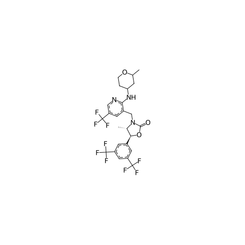 CC1CC(Nc2ncc(C(F)(F)F)cc2CN2C(=O)O[C@@H](c3cc(C(F)(F)F)cc(C(F)(F)F)c3)[C@@H]2C)CCO1